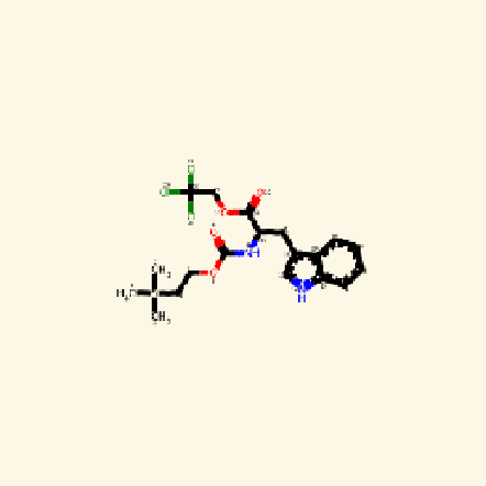 C[Si](C)(C)CCOC(=O)NC(Cc1c[nH]c2ccccc12)C(=O)OCC(Cl)(Cl)Cl